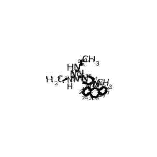 C=CCNc1nc(NCCC)nc(N2CCC(N(C)C3c4ccccc4CCc4ccccc43)CC2)n1